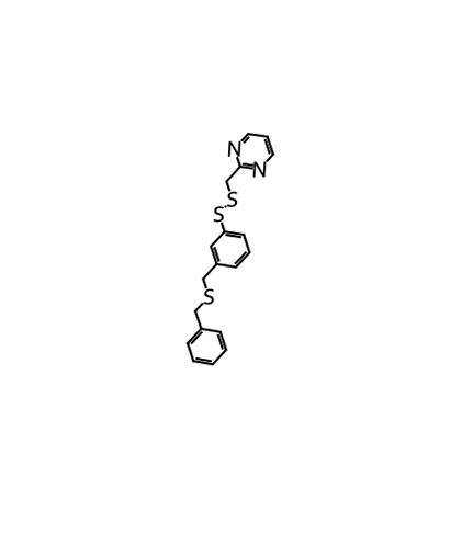 c1ccc(CSCc2cccc(SSCc3ncccn3)c2)cc1